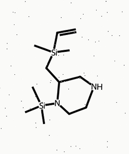 C=C[Si](C)(C)CC1CNCCN1[Si](C)(C)C